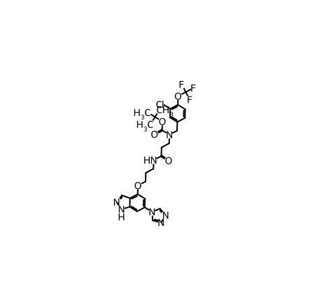 CC(C)(C)OC(=O)N(CCC(=O)NCCCOc1cc(-n2cnnc2)cc2[nH]ncc12)Cc1ccc(OC(F)(F)F)c(Cl)c1